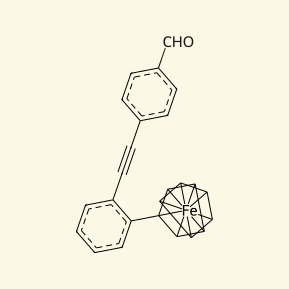 O=Cc1ccc(C#Cc2ccccc2[C]23[CH]4[CH]5[CH]6[CH]2[Fe]56432789[CH]3[CH]2[CH]7[CH]8[CH]39)cc1